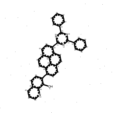 Oc1c(-c2ccc3ccc4c(-c5nc(-c6ccccc6)nc(-c6ccccc6)n5)ccc5ccc2c3c54)ccc2cccnc12